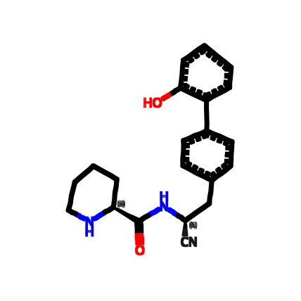 N#C[C@H](Cc1ccc(-c2ccccc2O)cc1)NC(=O)[C@@H]1CCCCN1